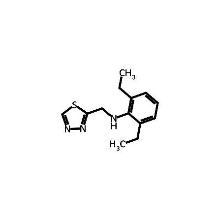 CCc1cccc(CC)c1NCc1nncs1